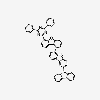 c1ccc(-c2nc(-c3ccccc3)nc(-c3cccc4c3oc3cccc(-c5cccc6c5sc5ccc(-n7c8ccccc8c8ccccc87)cc56)c34)n2)cc1